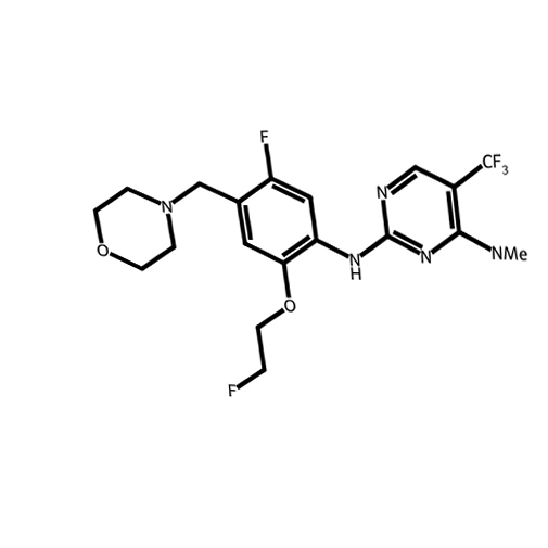 CNc1nc(Nc2cc(F)c(CN3CCOCC3)cc2OCCF)ncc1C(F)(F)F